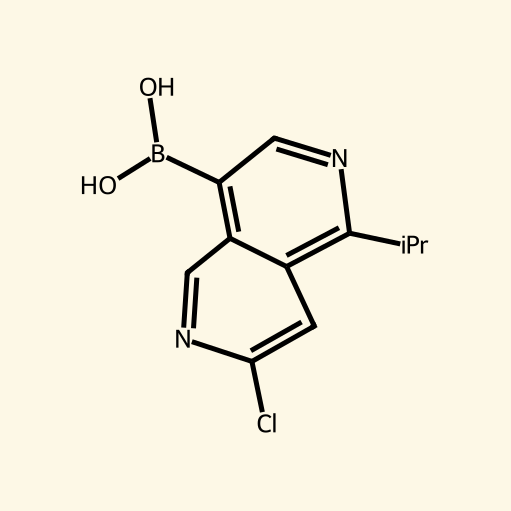 CC(C)c1ncc(B(O)O)c2cnc(Cl)cc12